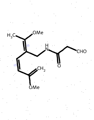 C=C(/C=C\C(CNC(=O)CC=O)=C(/C)OC)OC